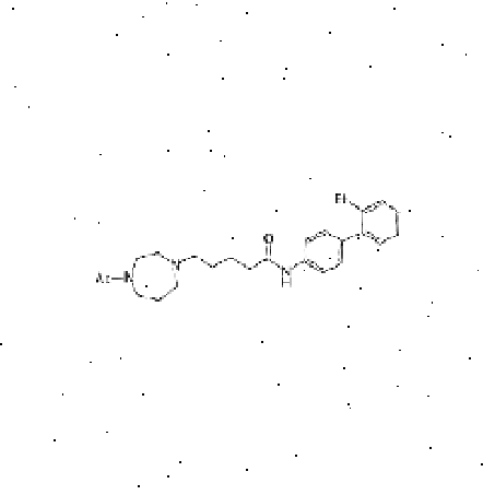 CCc1ccccc1-c1ccc(NC(=O)CCCCN2CCCN(C(C)=O)CC2)cc1